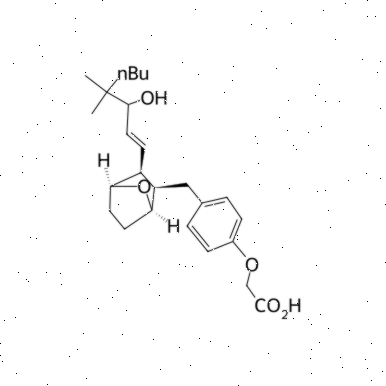 CCCCC(C)(C)C(O)/C=C/[C@H]1[C@@H](Cc2ccc(OCC(=O)O)cc2)[C@H]2CC[C@@H]1O2